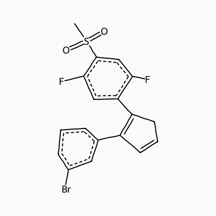 CS(=O)(=O)c1cc(F)c(C2=C(c3cccc(Br)c3)C=CC2)cc1F